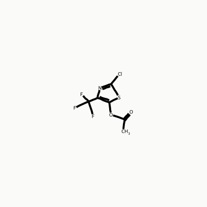 CC(=O)Oc1sc(Cl)nc1C(F)(F)F